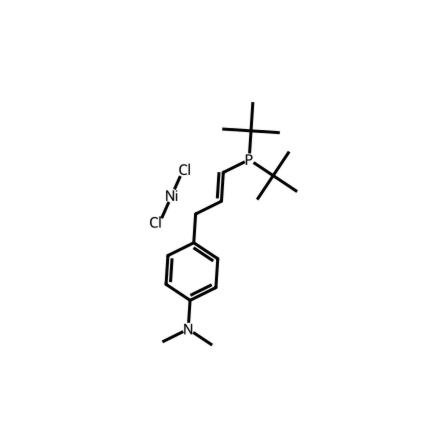 CN(C)c1ccc(CC=CP(C(C)(C)C)C(C)(C)C)cc1.[Cl][Ni][Cl]